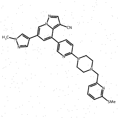 CSc1cccc(CN2CCN(c3ccc(-c4cc(-c5cnn(C)c5)cn5ncc(C#N)c45)cn3)CC2)n1